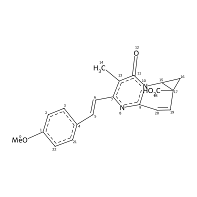 COc1ccc(/C=C/c2nc3n(c(=O)c2C)C2CC2(C(=O)O)C=C3)cc1